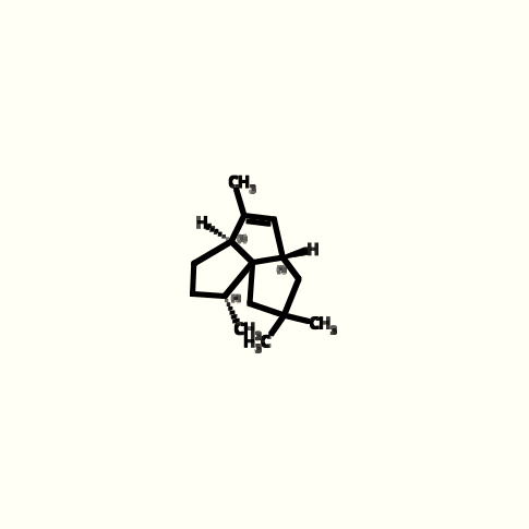 CC1=C[C@@H]2CC(C)(C)CC23[C@H](C)CC[C@@H]13